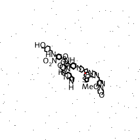 COc1cc(CN2CCN(C3CC4(CCN(c5ccc(C(=O)NS(=O)(=O)c6ccc(NCC7CCC(C)(O)CC7)c([N+](=O)[O-])c6)c(N6c7cc8cc[nH]c8nc7O[C@H]7COCC[C@@H]76)c5)CC4)C3C)[C@H](c3ccsc3C(C)C)C2)cnc1N1CCOCC1